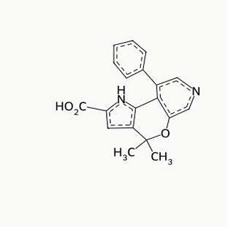 CC1(C)Oc2cncc(-c3ccccc3)c2-c2[nH]c(C(=O)O)cc21